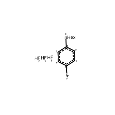 CCCCCCc1ccc([S])cc1.F.F.F